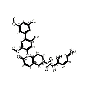 COc1cc(Cl)cc(-c2cc(OC)c(-n3c4c(ccc3=O)CN(S(=O)(=O)NC(=N)/C=C\C=N)CC4)cc2F)c1